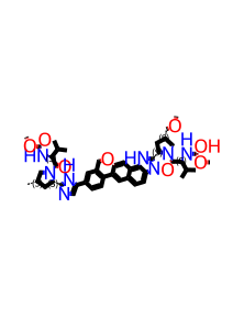 COC[C@H]1C[C@@H](c2nc3ccc4cc5c(cc4c3[nH]2)OCc2cc(-c3cnc([C@@H]4C[C@H](C)CN4C(=O)[C@@H](NC(=O)OC)C(C)C)[nH]3)ccc2-5)N(C(=O)[C@@H](NC(O)OC)C(C)C)C1